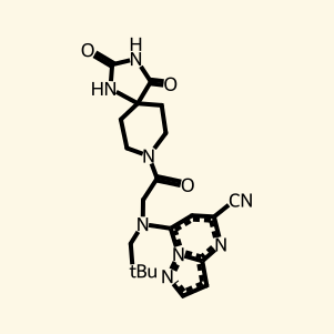 CC(C)(C)CN(CC(=O)N1CCC2(CC1)NC(=O)NC2=O)c1cc(C#N)nc2ccnn12